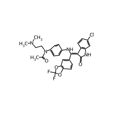 CC(=O)N(CCN(C)C)c1ccc(NC(=C2C(=O)Nc3cc(Cl)ccc32)c2ccc3c(c2)OC(F)(F)O3)cc1